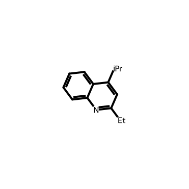 CCc1cc(C(C)C)c2ccccc2n1